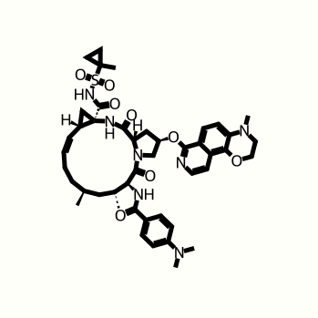 C[C@H]1CC/C=C\[C@@H]2C[C@@]2(C(=O)NS(=O)(=O)C2(C)CC2)NC(=O)[C@@H]2C[C@@H](Oc3nccc4c5c(ccc34)N(C)CCO5)CN2C(=O)[C@@H](NC(=O)c2ccc(N(C)C)cc2)[C@H](C)C1